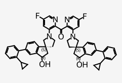 O=C(c1ncc(F)cc1N1CC[C@@]2(C[C@@H](O)c3cc(-c4ccccc4C4CC4)ccc32)C1)c1ncc(F)cc1N1CC[C@@]2(C[C@@H](O)c3cc(-c4ccccc4C4CC4)ccc32)C1